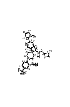 CN1CC[C@H]1CNC(=O)C1(c2ccc(-c3cccn3C)nc2)CCN(c2ccc(C(F)(F)F)cc2C#N)CC1